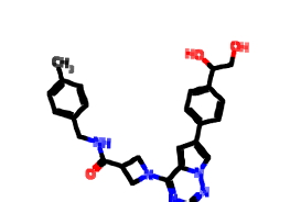 Cc1ccc(CNC(=O)C2CN(c3ncnn4cc(-c5ccc(C(O)CO)cc5)cc34)C2)cc1